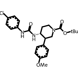 COc1ccc(C2CN(C(=O)OC(C)(C)C)CC[C@H]2NC(=O)Nc2ccc(Cl)cc2)cc1